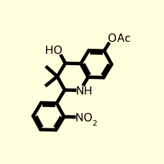 CC(=O)Oc1ccc2c(c1)C(O)C(C)(C)C(c1ccccc1[N+](=O)[O-])N2